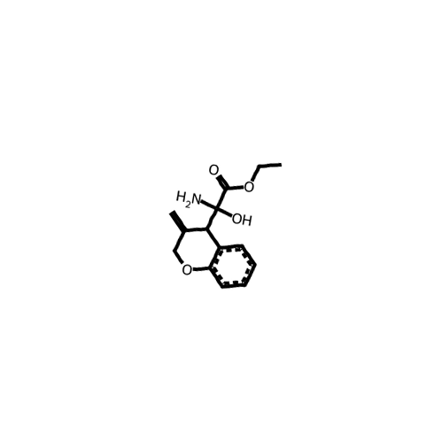 C=C1COc2ccccc2C1C(N)(O)C(=O)OCC